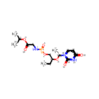 CCC(CO[PH](=O)NCC(=O)OC(C)C)O[C@H](C)n1ccc(=O)[nH]c1=O